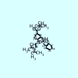 CC(C)N(CCOc1ncc(C(=O)OC(C)(C)C)cc1NS(=O)(=O)Cc1ccccc1)C(C)C